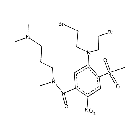 CN(C)CCCN(C)C(=O)c1cc(N(CCBr)CCBr)c(S(C)(=O)=O)cc1[N+](=O)[O-]